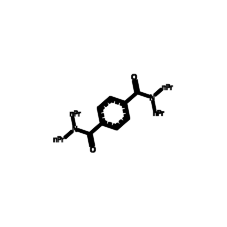 CCCN(CCC)C(=O)c1ccc(C(=O)N(CCC)CCC)cc1